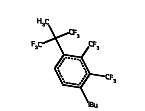 CCC(C)c1ccc(C(C)(C(F)(F)F)C(F)(F)F)c(C(F)(F)F)c1C(F)(F)F